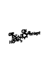 CCCCCCCOc1ccc(CCC(N)(CO)COP=O)cc1C#N